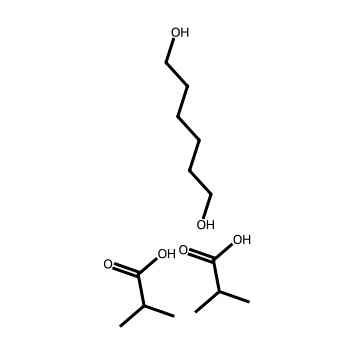 CC(C)C(=O)O.CC(C)C(=O)O.OCCCCCCO